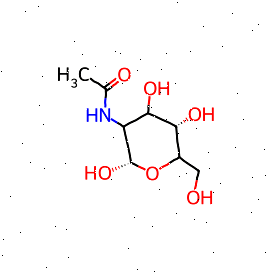 CC(=O)NC1C(O)[C@H](O)C(CO)O[C@@H]1O